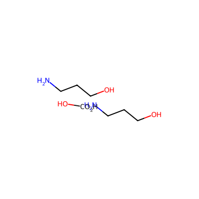 NCCCO.NCCCO.O=C(O)O